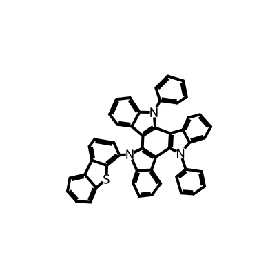 c1ccc(-n2c3ccccc3c3c2c2c4ccccc4n(-c4cccc5c4sc4ccccc45)c2c2c4ccccc4n(-c4ccccc4)c32)cc1